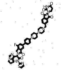 O=C1CCN(N2C(=O)c3ccc(CN4CCN(C5CCN(c6ccc(-c7cc(F)c8c(c7)C(=O)N(C(C(=O)Nc7nccs7)c7ncn9c7CCC9)C8)cc6)CC5)CC4)cc3C2=O)C(=O)N1